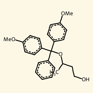 COc1ccc(C(OC(C)CCO)(c2ccccc2)c2ccc(OC)cc2)cc1